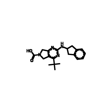 CC(C)(C)c1nc(NC2Cc3ccccc3C2)nc2c1CN(C(=O)O)C2